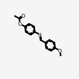 COc1ccc(C=Nc2ccc(OC(C)=O)cc2)cc1